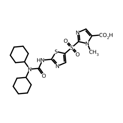 Cn1c(C(=O)O)cnc1S(=O)(=O)c1cnc(NC(=O)N(C2CCCCC2)C2CCCCC2)s1